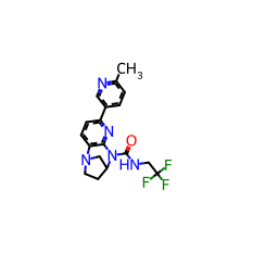 Cc1ccc(-c2ccc3c(n2)N(C(=O)NCC(F)(F)F)C2CCN3C2)cn1